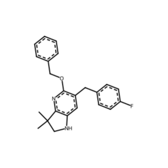 CC1(C)CNc2cc(Cc3ccc(F)cc3)c(OCc3ccccc3)nc21